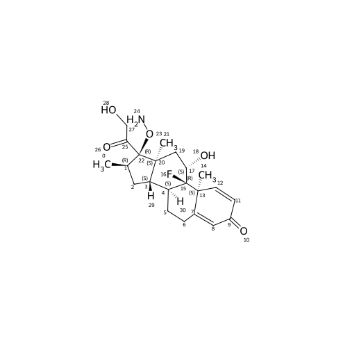 C[C@@H]1C[C@H]2[C@@H]3CCC4=CC(=O)C=C[C@]4(C)[C@@]3(F)[C@@H](O)C[C@]2(C)[C@@]1(ON)C(=O)CO